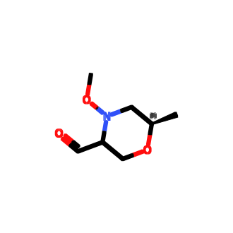 CON1C[C@@H](C)OCC1C=O